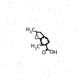 Cc1c(C(=O)O)ccc2c1OC(C)C2